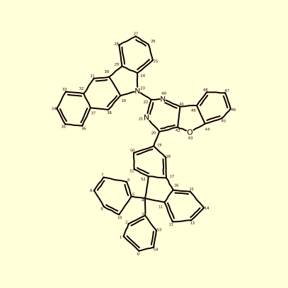 c1ccc(C2(c3ccccc3)c3ccccc3-c3cc(-c4nc(-n5c6ccccc6c6cc7ccccc7cc65)nc5c4oc4ccccc45)ccc32)cc1